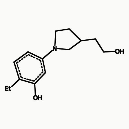 CCc1ccc(N2CCC(CCO)C2)cc1O